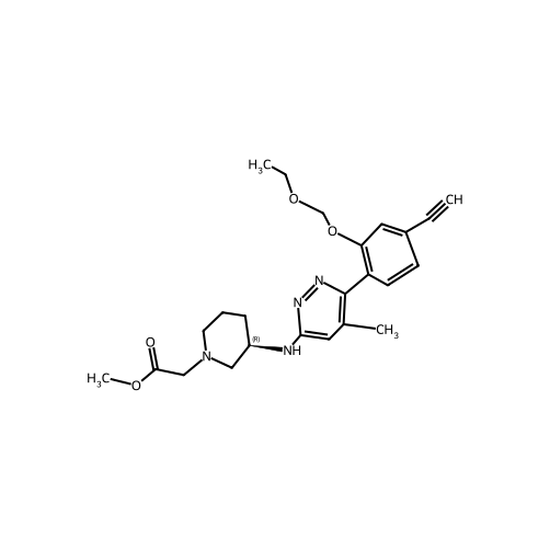 C#Cc1ccc(-c2nnc(N[C@@H]3CCCN(CC(=O)OC)C3)cc2C)c(OCOCC)c1